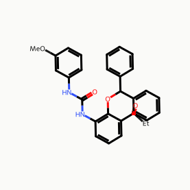 CCC(=O)c1cccc(NC(=O)Nc2cccc(OC)c2)c1OC(c1ccccc1)c1ccccc1